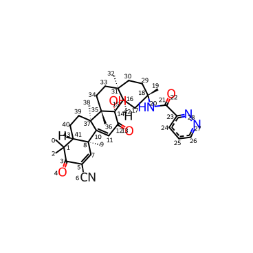 CC1(C)C(=O)C(C#N)=C[C@]2(C)C3=CC(=O)[C@]4(O)[C@@H]5C[C@@](C)(NC(=O)c6cccnn6)CC[C@]5(C)CC[C@@]4(C)[C@]3(C)CC[C@@H]12